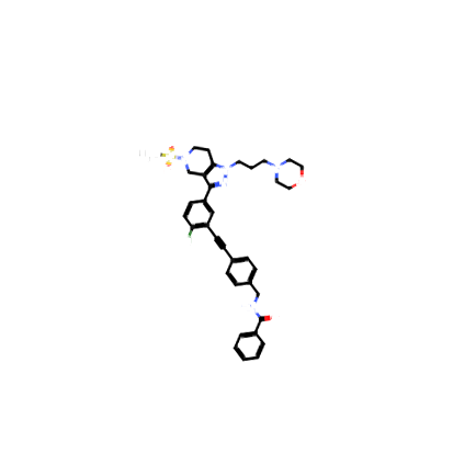 CS(=O)(=O)N1CCc2c(c(-c3ccc(Cl)c(C#Cc4ccc(CNC(=O)c5ccccc5)cc4)c3)nn2CCCN2CCOCC2)C1